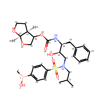 CB(O)c1ccc(S(=O)(=O)N(CC(C)C)C[C@@H](O)[C@H](Cc2ccccc2)NC(=O)OC2CO[C@H]3OCC[C@@H]23)cc1